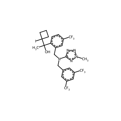 Cn1nnc(N(Cc2cc(C(F)(F)F)cc(C(F)(F)F)c2)Cc2cc(C(F)(F)F)ccc2C(C)(O)C2(I)CCC2)n1